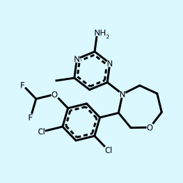 Cc1cc(N2CCCOCC2c2cc(OC(F)F)c(Cl)cc2Cl)nc(N)n1